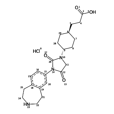 Cl.O=C(O)CC[C@H]1CC[C@H](N2CC(=O)N(c3ccc4c(c3)CCNCC4)C2=O)CC1